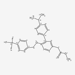 COC(=O)Cc1ccc(OCc2ccc(C(F)(F)F)cc2)c(-c2ccc(C(C)C)cc2)c1